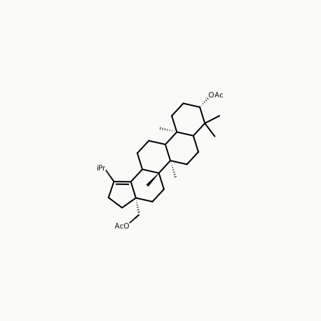 CC(=O)OC[C@]12CCC(C(C)C)=C1C1CCC3[C@@]4(C)CC[C@H](OC(C)=O)C(C)(C)C4CC[C@@]3(C)[C@]1(C)CC2